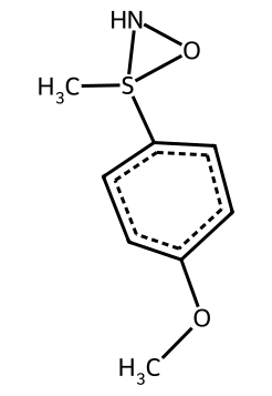 COc1ccc(S2(C)NO2)cc1